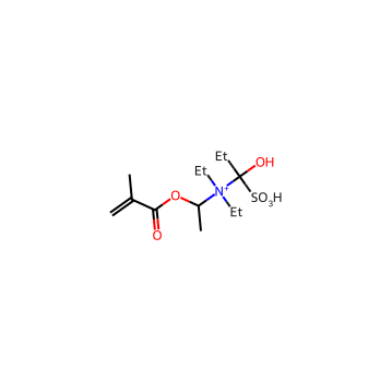 C=C(C)C(=O)OC(C)[N+](CC)(CC)C(O)(CC)S(=O)(=O)O